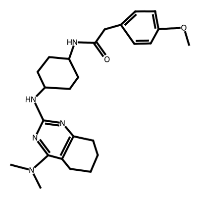 COc1ccc(CC(=O)NC2CCC(Nc3nc4c(c(N(C)C)n3)CCCC4)CC2)cc1